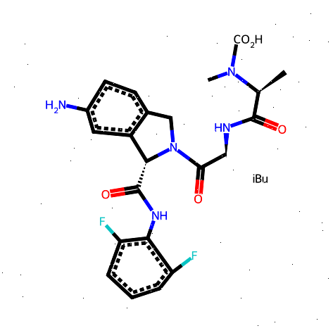 CC[C@H](C)[C@H](NC(=O)[C@H](C)N(C)C(=O)O)C(=O)N1Cc2ccc(N)cc2[C@H]1C(=O)Nc1c(F)cccc1F